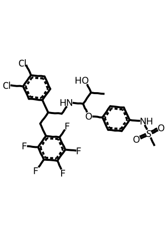 CC(O)C(NCC(Cc1c(F)c(F)c(F)c(F)c1F)c1ccc(Cl)c(Cl)c1)Oc1ccc(NS(C)(=O)=O)cc1